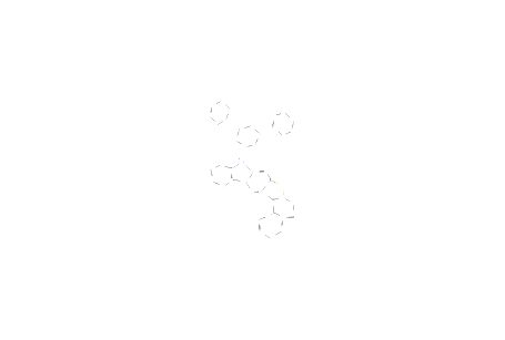 c1ccc(-c2cc(-c3ccccc3)cc(-n3c4ccccc4c4cc5c(cc43)sc3ccc4ccccc4c35)c2)cc1